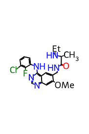 CCN[C@@H](C)C(=O)NCc1cc2c(Nc3cccc(Cl)c3F)ncnc2cc1OC